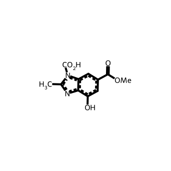 COC(=O)c1cc(O)c2nc(C)n(C(=O)O)c2c1